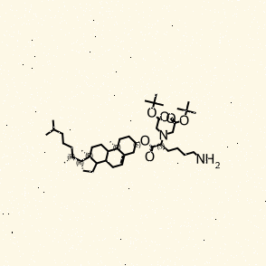 CC(C)CCC[C@@H](C)[C@H]1CCC2C3CC=C4C[C@@H](OC(=O)[C@H](CCCCN)N(CC(=O)OC(C)(C)C)CC(=O)OC(C)(C)C)CC[C@]4(C)C3CC[C@@]21C